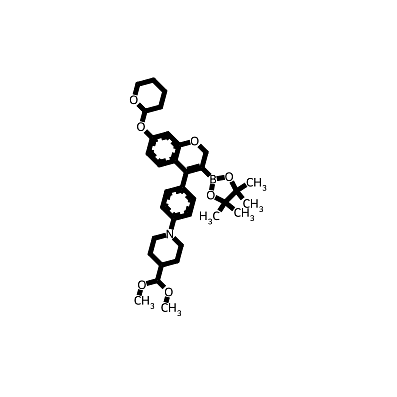 COC(OC)C1CCN(c2ccc(C3=C(B4OC(C)(C)C(C)(C)O4)COc4cc(OC5CCCCO5)ccc43)cc2)CC1